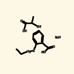 CC(O)C(=O)O.C[CH2][Hg][S]c1ccccc1C(=O)O.[NaH]